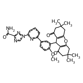 COc1ccc(-c2cccc(-n3cnc(C(N)=O)n3)n2)cc1C1C2=C(CC(C)(C)CC2=O)OC2=C1C(=O)CC(C)(C)C2